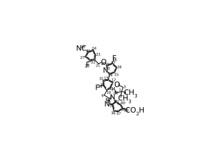 CC1(C)COC[C@H]1n1c(Cc2ccc(-c3ccc(F)c(OCc4ccc(C#N)cc4F)n3)cc2F)nc2ccc(C(=O)O)cc21